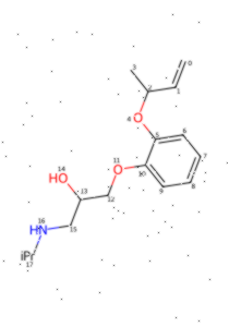 C=CC(C)Oc1ccccc1OCC(O)CNC(C)C